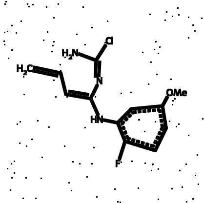 C=C/C=C(\N=C(/N)Cl)Nc1cc(OC)ccc1F